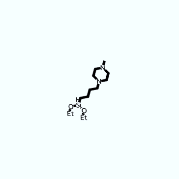 CCO[SiH](CCCCN1CCN(C)CC1)OCC